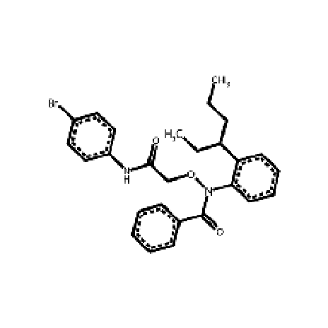 CCCC(CC)c1ccccc1N(OCC(=O)Nc1ccc(Br)cc1)C(=O)c1ccccc1